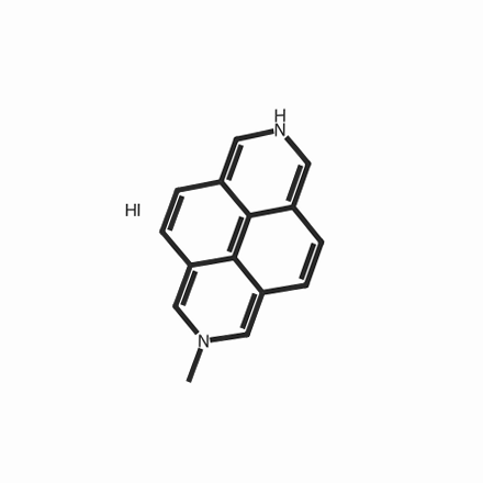 CN1C=c2ccc3c4c(ccc(c24)=C1)=CNC=3.I